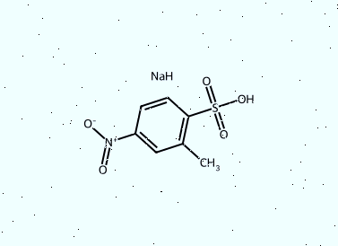 Cc1cc([N+](=O)[O-])ccc1S(=O)(=O)O.[NaH]